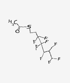 CC(=O)SCCC(F)(F)C(F)(F)C(F)C(F)C(F)F